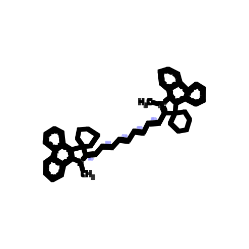 CN1/C(=C/C=C/C=C/C=C/C=C/C2=[N+](C)c3c(c4ccccc4c4ccccc34)C23CCCCC3)C2(CCCCC2)c2c1c1ccccc1c1ccccc21